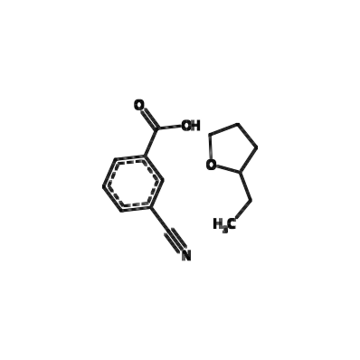 CCC1CCCO1.N#Cc1cccc(C(=O)O)c1